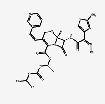 CCC(CC)OC(=O)O[C@@H](C)OC(=O)C1=C(/C=C\c2cccnc2)CS[C@@H]2[C@H](NC(=O)/C(=N\O)c3csc(N)n3)C(=O)N12